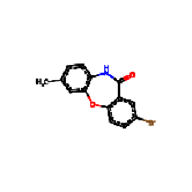 Cc1ccc2c(c1)Oc1ccc(Br)cc1C(=O)N2